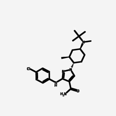 C[C@H]1C[C@@H](N(C)C(C)(C)C)CC[C@@H]1n1cc(C(N)=O)c(Nc2ccc(Cl)cc2)n1